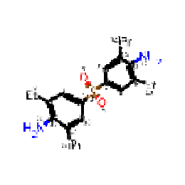 CCc1cc(S(=O)(=O)c2cc(CC)c(N)c(C(C)C)c2)cc(C(C)C)c1N